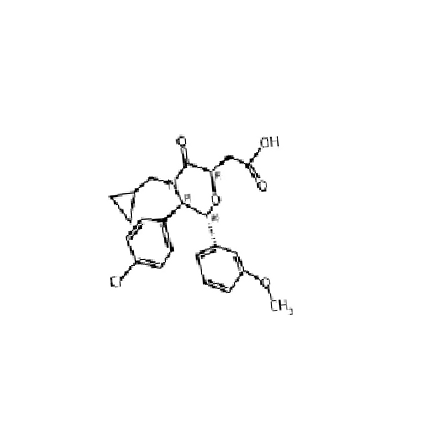 COc1cccc([C@H]2O[C@H](CC(=O)O)C(=O)N(CC3CC3)[C@@H]2c2ccc(Cl)cc2)c1